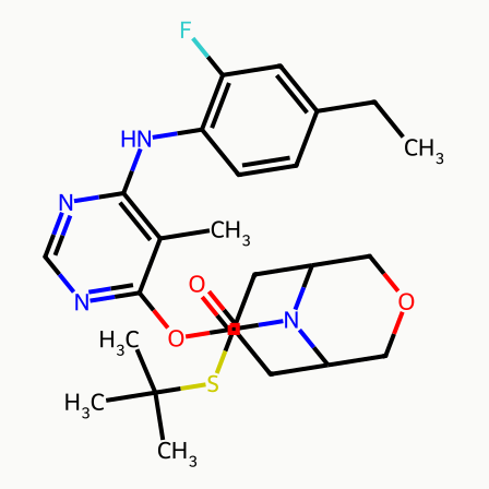 CCc1ccc(Nc2ncnc(OC3CC4COCC(C3)N4C(=O)SC(C)(C)C)c2C)c(F)c1